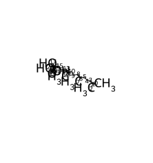 CC(C)=CCC/C(C)=C/CC/C(C)=C/CCC(O)P(=O)(O)O